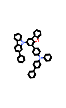 c1ccc(-c2ccc(N(c3ccccc3)c3ccc(-c4cc(-n5c6ccccc6c6ccc(-c7ccccc7)cc65)cc5c4oc4ccccc45)cc3)cc2)cc1